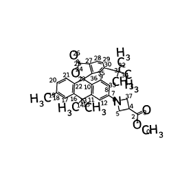 COC(=O)C1CN(c2ccc3c(c2)C(C)(C)c2cc(C)ccc2C32OC(=O)c3ccc(C(C)(C)C)cc32)C1